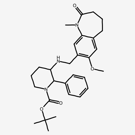 COc1cc2c(cc1CNC1CCCN(C(=O)OC(C)(C)C)C1c1ccccc1)N(C)C(=O)CCC2